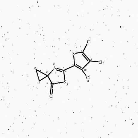 O=C1SC(c2sc(Cl)c(Cl)c2Cl)=NC12CC2